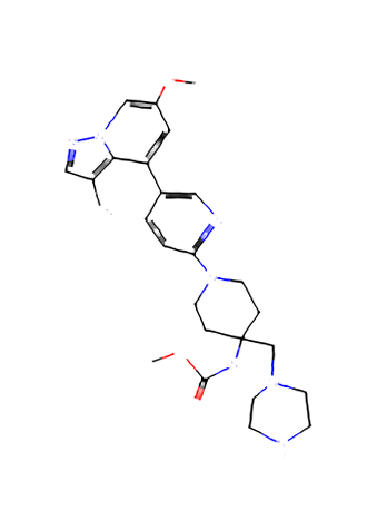 CCOc1cc(-c2ccc(N3CCC(CN4CCNCC4)(NC(=O)OC(C)C)CC3)nc2)c2c(C#N)cnn2c1